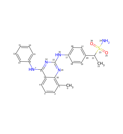 Cc1cccc2c(Nc3ccccc3)nc(Nc3ccc(C(C)S(N)(=O)=O)cc3)nc12